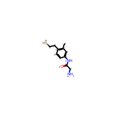 Cc1cc(NC(=O)CN)ccc1CCS